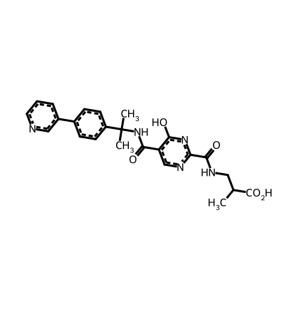 CC(CNC(=O)c1ncc(C(=O)NC(C)(C)c2ccc(-c3cccnc3)cc2)c(O)n1)C(=O)O